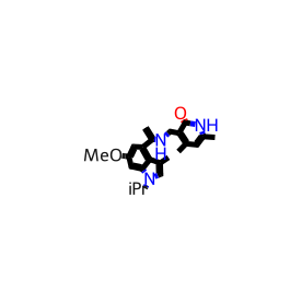 C=C(NCc1c(C)cc(C)[nH]c1=O)c1cc(OC)cc2c1c(C)cn2C(C)C